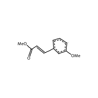 COC(=O)C=Cc1cc[c]c(OC)c1